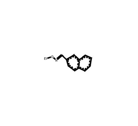 CCO/N=C/c1ccc2ccccc2c1